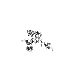 C[C@@H]1N(C(=O)[C@@H](N)CCCNC(=N)N)C[C@@H](CCB(O)O)C[C@]1(N)C(=O)O.Cl.Cl.Cl